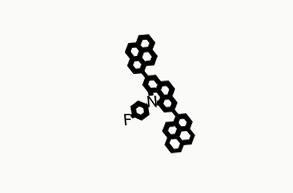 Fc1ccc(-n2c3cc(-c4ccc5c6c7c(ccc46)C=CCC7=CC5)cc4ccc5cc(-c6ccc7ccc8cccc9ccc6c7c89)cc2c5c43)cc1